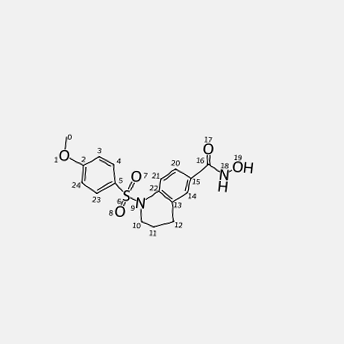 COc1ccc(S(=O)(=O)N2CCCc3cc(C(=O)NO)ccc32)cc1